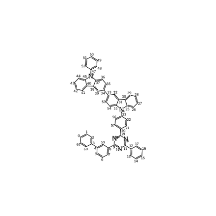 c1ccc(-c2cccc(-c3nc(-c4ccccc4)nc(-c4ccc(-n5c6ccccc6c6cc(-c7ccc8c(c7)c7ccccc7n8-c7ccccc7)ccc65)cc4)n3)c2)cc1